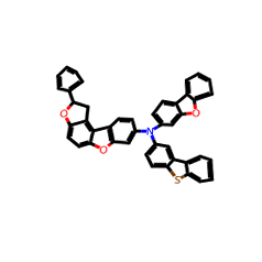 c1ccc(C2Cc3c(ccc4oc5cc(N(c6ccc7c(c6)oc6ccccc67)c6ccc7sc8ccccc8c7c6)ccc5c34)O2)cc1